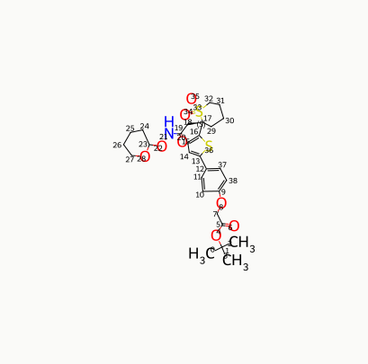 CC(C)(C)OC(=O)COc1ccc(-c2ccc([C@@]3(CC(=O)NOC4CCCCO4)CCCCS3(=O)=O)s2)cc1